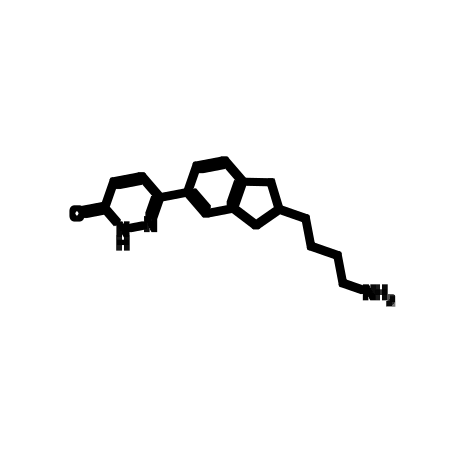 NCCCCC1Cc2ccc(-c3ccc(=O)[nH]n3)cc2C1